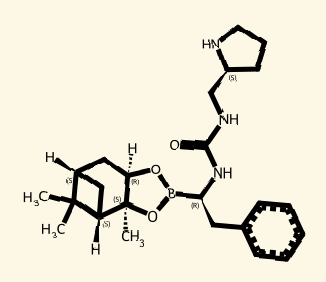 CC1(C)[C@@H]2C[C@H]3OB([C@H](Cc4ccccc4)NC(=O)NC[C@@H]4CCCN4)O[C@@]3(C)[C@H]1C2